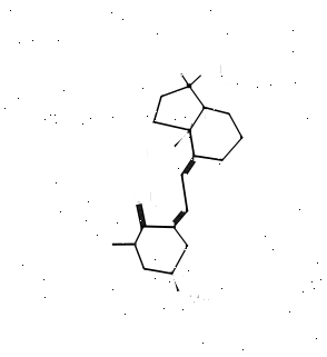 C=C1/C(=C\C=C2/CCC[C@]3(C)C(C)(C)CC[C@@]23C)C[C@@H](OC)CC1C